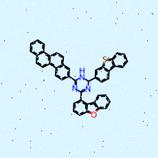 c1ccc2c(c1)ccc1c3ccc(C4=NC(c5cccc6oc7ccccc7c56)=NC(c5ccc6c(c5)sc5ccccc56)N4)cc3ccc21